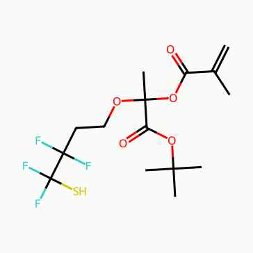 C=C(C)C(=O)OC(C)(OCCC(F)(F)C(F)(F)S)C(=O)OC(C)(C)C